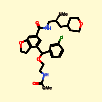 CN[C@H](CNC(=O)c1cc2c(c(C(OCCNC(=O)OC)c3cccc(Cl)c3)c1)CCO2)CC1CCOCC1